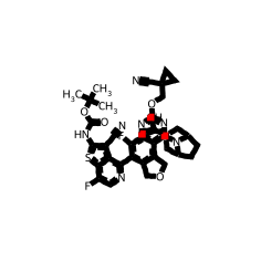 CC(C)(C)OC(=O)Nc1sc2c(F)cnc(-c3c4c(c5c(N6C7CCC6CN(C(=O)O)C7)nc(OCC6(C#N)CC6)nc5c3F)COC4)c2c1C#N